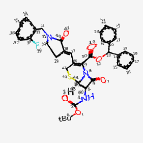 CC(C)(C)OC(=O)N[C@@H]1C(=O)N2C(C(=O)OC(c3ccccc3)c3ccccc3)=C(C=C3CCN(Cc4ccccc4F)C3=O)CS[C@H]12